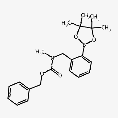 CN(Cc1ccccc1B1OC(C)(C)C(C)(C)O1)C(=O)OCc1ccccc1